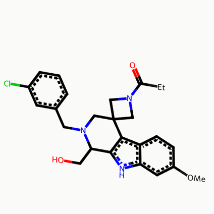 CCC(=O)N1CC2(C1)CN(Cc1cccc(Cl)c1)C(CO)c1[nH]c3cc(OC)ccc3c12